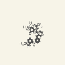 Cn1cnc2c(Nc3cccc(CC4COCCN4C4SC5=C(CC(C)(C)NC5=O)N4OC(=O)C(F)(F)F)c3)cccc21